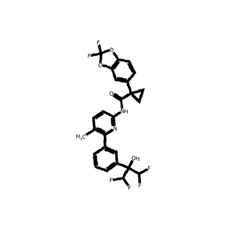 Cc1ccc(NC(=O)C2(c3ccc4c(c3)OC(F)(F)O4)CC2)nc1-c1cccc(C(O)(C(F)F)C(F)F)c1